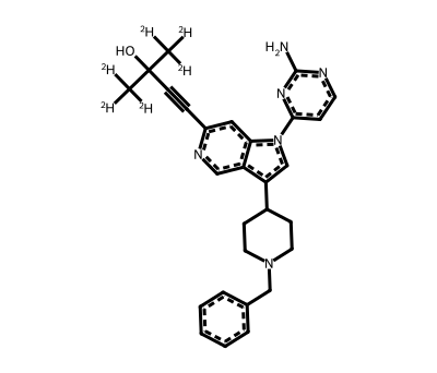 [2H]C([2H])([2H])C(O)(C#Cc1cc2c(cn1)c(C1CCN(Cc3ccccc3)CC1)cn2-c1ccnc(N)n1)C([2H])([2H])[2H]